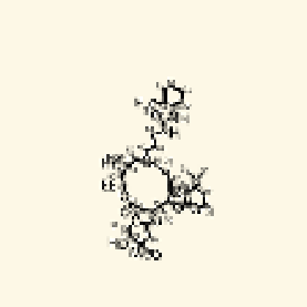 CC[C@H]1OC(=O)[C@H](C)[C@@H](O[C@H]2C[C@@](C)(OC)[C@@H](O)[C@H](C)O2)[C@H](C)[C@@H](O[C@@H]2O[C@H](C)C[C@H](N(C)C)[C@H]2O)[C@](C)(O)C[C@@H](C)CN(CCCNC(=O)Nc2ccccc2C(F)(F)F)[C@H](C)[C@@H](O)[C@]1(C)O